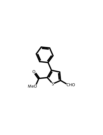 COC(=O)c1sc(C=O)cc1-c1ccccc1